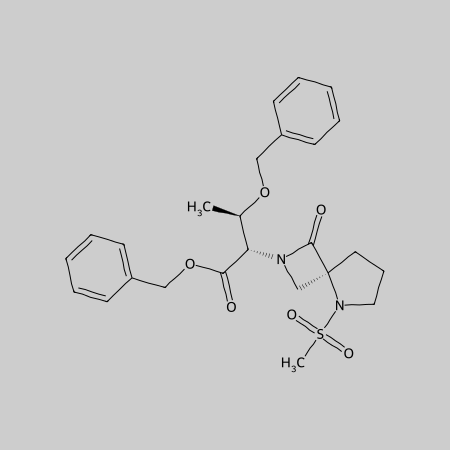 C[C@@H](OCc1ccccc1)[C@@H](C(=O)OCc1ccccc1)N1C[C@@]2(CCCN2S(C)(=O)=O)C1=O